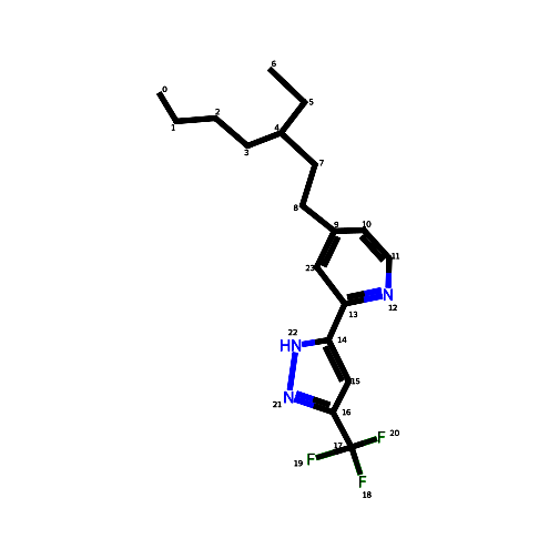 CCCCC(CC)CCc1ccnc(-c2cc(C(F)(F)F)n[nH]2)c1